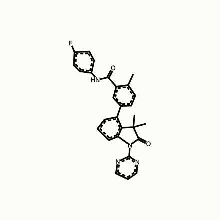 Cc1ccc(-c2cccc3c2C(C)(C)C(=O)N3c2ncccn2)cc1C(=O)Nc1ccc(F)cc1